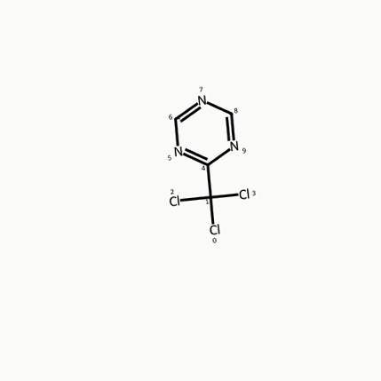 ClC(Cl)(Cl)c1n[c]ncn1